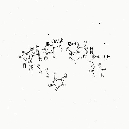 CC[C@H](C)[C@@H]([C@@H](CC(=O)N1CCC[C@H]1[C@H](OC)[C@@H](C)C(=O)N[C@@H](Cc1ccccc1)C(=O)O)OC)N(C)C(=O)[C@@H](NC(=O)[C@@H]1[C@H]2CC[C@H](C2)N1C(=O)CCCCCN1C(=O)C=CC1=O)C(C)C